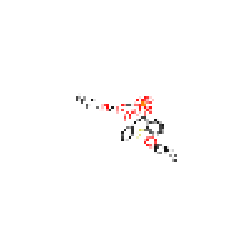 CCOCCOCCOP(=O)(O)OC1=Cc2ccccc2Sc2c(OC)cccc21